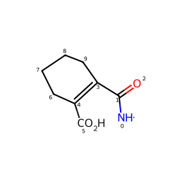 [NH]C(=O)C1=C(C(=O)O)CCCC1